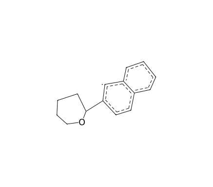 [c]1c(C2CCCCO2)ccc2ccccc12